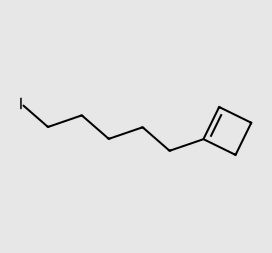 ICCCCCC1=CCC1